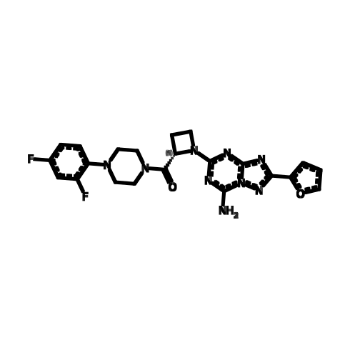 Nc1nc(N2CC[C@H]2C(=O)N2CCN(c3ccc(F)cc3F)CC2)nc2nc(-c3ccco3)nn12